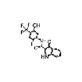 O=C(Nc1cc(O)c(C(F)(F)F)cc1F)c1c[nH]c2ccccc2c1=O